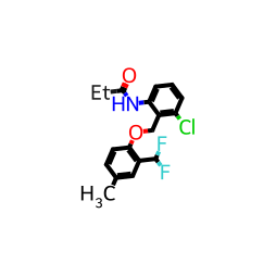 CCC(=O)Nc1cccc(Cl)c1COc1ccc(C)cc1C(F)F